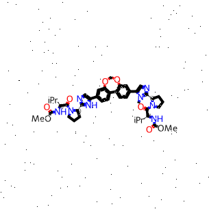 COC(=O)N[C@@H](C(=O)N1CCC[C@H]1c1ncc(-c2ccc3c(c2)OCOc2cc(-c4cnc([C@@H]5CCCN5C(=O)[C@H](NC(=O)OC)C(C)C)n4C)ccc2-3)[nH]1)C(C)C